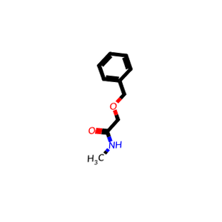 CNC(=O)COCc1ccccc1